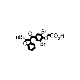 CCCCc1oc2ccccc2c1C(=O)c1cc(Br)c(OCC(=O)O)c(Br)c1